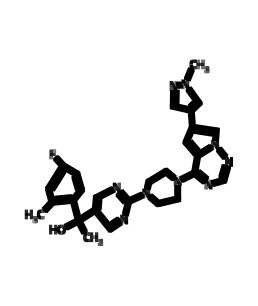 Cc1cc(F)ccc1C(C)(O)c1cnc(N2CCN(c3ncnn4cc(-c5cnn(C)c5)cc34)CC2)nc1